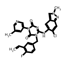 C=Cc1cc(Cn2c(Nc3cc4cn(C)nc4cc3Cl)nc(=O)n(-c3cncc(C)c3)c2=O)ccc1F